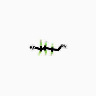 [CH2]CC(F)(F)C(F)(F)C([CH2])(F)F